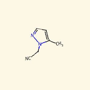 Cc1ccnn1CC#N